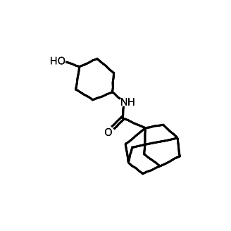 O=C(NC1CCC(O)CC1)C12CC3CC(CC(C3)C1)C2